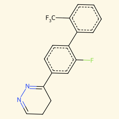 Fc1cc(C2=NN=CCC2)ccc1-c1ccccc1C(F)(F)F